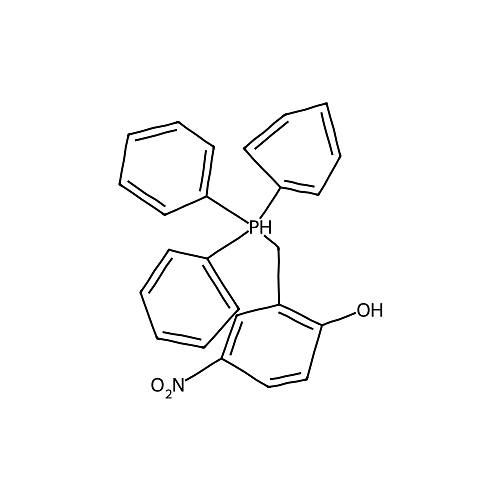 O=[N+]([O-])c1ccc(O)c(C[PH](c2ccccc2)(c2ccccc2)c2ccccc2)c1